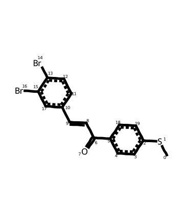 CSc1ccc(C(=O)C=Cc2ccc(Br)c(Br)c2)cc1